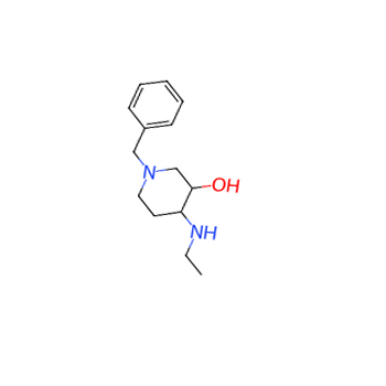 CCNC1CCN(Cc2ccccc2)CC1O